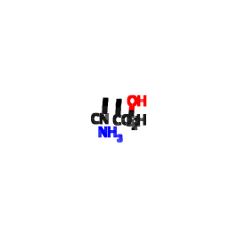 CC#N.CC(=O)O.CCO.N